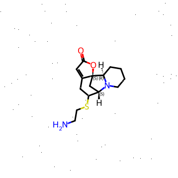 NCCSC1CC2=CC(=O)O[C@@]23C[C@@H]1N1CCCC[C@@H]13